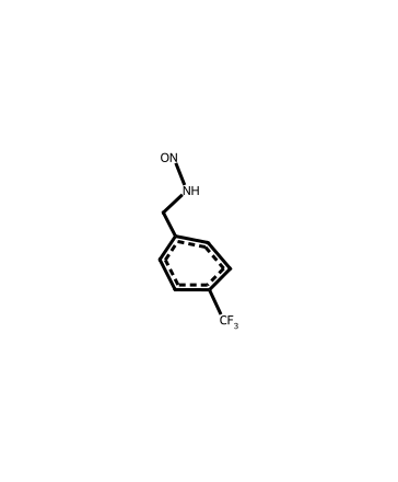 O=NNCc1ccc(C(F)(F)F)cc1